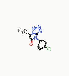 O=c1cc(C(F)(F)F)n2nnnc2n1-c1ccc(Cl)cc1